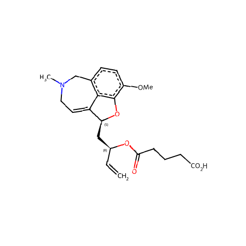 C=C[C@@H](C[C@@H]1Oc2c(OC)ccc3c2C1=CCN(C)C3)OC(=O)CCCC(=O)O